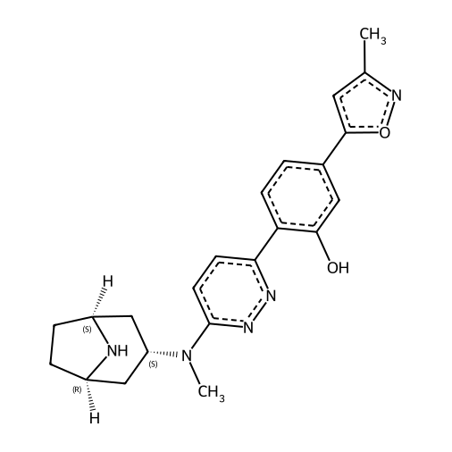 Cc1cc(-c2ccc(-c3ccc(N(C)[C@@H]4C[C@H]5CC[C@@H](C4)N5)nn3)c(O)c2)on1